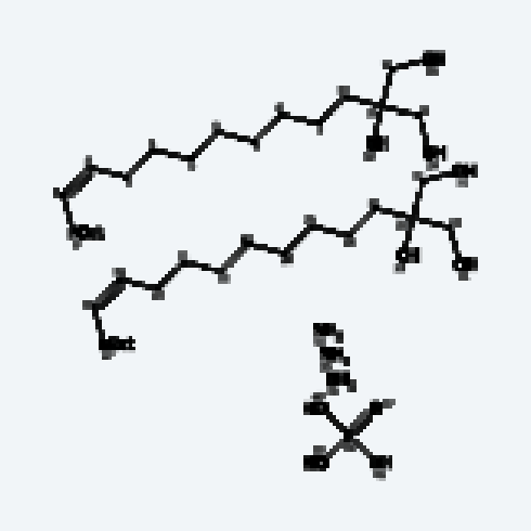 CCCCCCCC/C=C\CCCCCCCCC(O)(CO)CO.CCCCCCCC/C=C\CCCCCCCCC(O)(CO)CO.N.N.N.O=P(O)(O)O